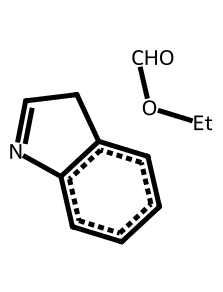 C1=Nc2ccccc2C1.CCOC=O